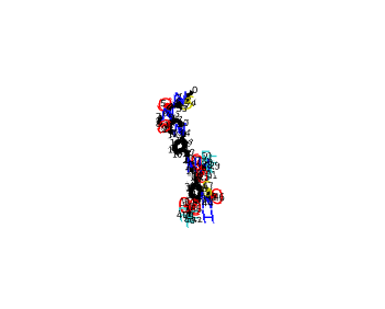 Cc1nc(C(=O)N2CCOC3(CCN(Cc4cccc(CCNC[C@H](OC(=O)C(F)(F)F)c5ccc(OC(=O)C(F)(F)F)c6[nH]c(=O)sc56)c4)CC3)C2)cs1